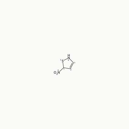 O=[N+]([O-])C1[C]=CNS1